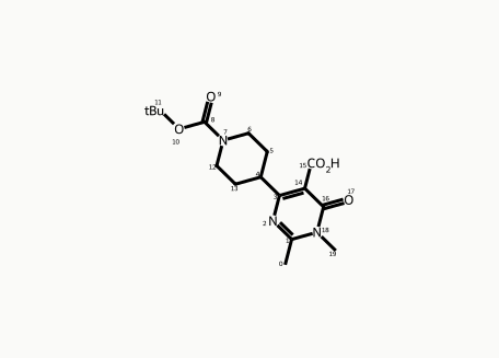 Cc1nc(C2CCN(C(=O)OC(C)(C)C)CC2)c(C(=O)O)c(=O)n1C